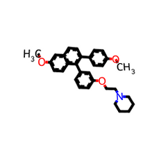 COc1ccc(-c2ccc3cc(OC)ccc3c2-c2cccc(OCCN3CCCCC3)c2)cc1